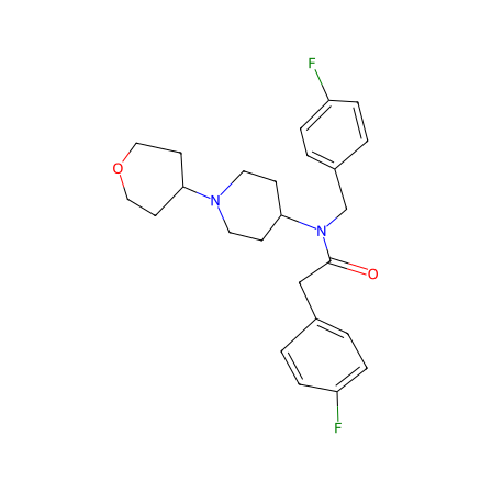 O=C(Cc1ccc(F)cc1)N(Cc1ccc(F)cc1)C1CCN(C2CCOCC2)CC1